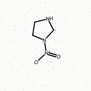 O=[N+]([O-])N1[C]NCC1